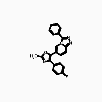 Cc1nc(-c2ccc(F)cc2)c(-c2ccc3nnc(-c4ccccc4)n3c2)o1